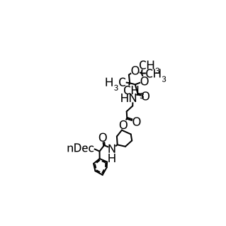 CCCCCCCCCCC(C(=O)NC1CCCC(OC(=O)CCNC(=O)C2OC(C)(C)OCC2(C)C)C1)c1ccccc1